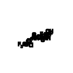 O=C(NCc1ccc(OC(F)(F)F)c(Cl)c1)c1ccc(S(=O)(=O)NC2=NC(O)C(F)S2)c(F)c1